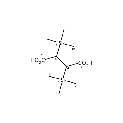 C[Si](C)(C)C(C(=O)O)C(C(=O)O)[Si](C)(C)C